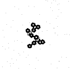 c1ccc(-c2ccc(N3c4cc(-c5ccc6c(c5)N(c5ccc7c8ccccc8c8ccccc8c7c5)c5ccccc5O6)ccc4Sc4c3ccc3ccccc43)cc2)cc1